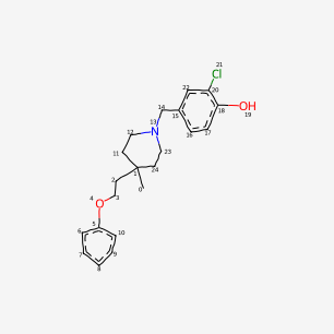 CC1(CCOc2ccccc2)CCN(Cc2ccc(O)c(Cl)c2)CC1